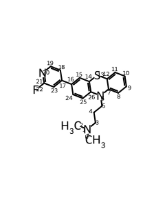 CN(C)CCCN1c2ccccc2Sc2cc(-c3ccnc(F)c3)ccc21